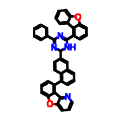 c1ccc(C2=NC(c3ccc4c(-c5cccc6oc7cccnc7c56)cccc4c3)NC(c3cccc4oc5ccccc5c34)=N2)cc1